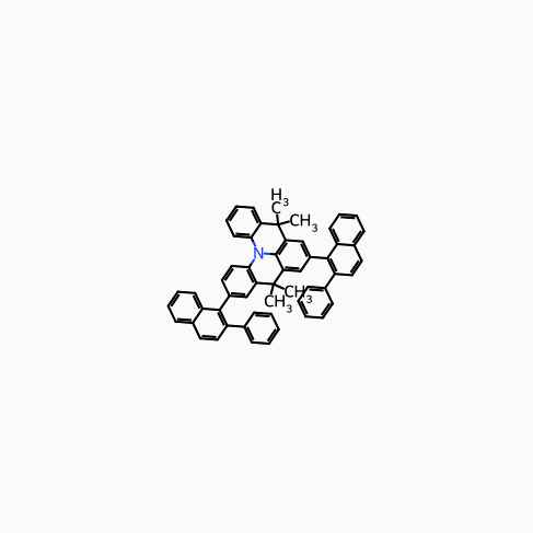 CC1(C)c2ccccc2N2c3ccc(-c4c(-c5ccccc5)ccc5ccccc45)cc3C(C)(C)c3cc(-c4c(-c5ccccc5)ccc5ccccc45)cc1c32